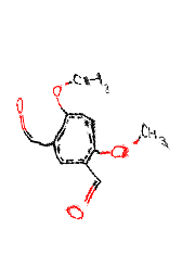 COc1cc(OC)c(C=O)cc1C=O